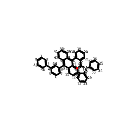 c1ccc(-c2cccc(-c3c4ccccc4c(-c4ccccc4-c4nc5ccccc5n4-c4ccccc4)c4ccccc34)c2)cc1